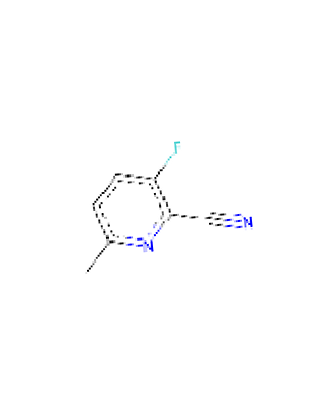 Cc1ccc(F)c(C#N)n1